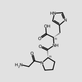 NCC(=O)N1CCC[C@H]1C(=O)N[C@@H](Cc1c[nH]cn1)C(=O)O